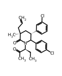 C=CC[C@@]1(C)C[C@H](c2cccc(Cl)c2)C(c2ccc(Cl)cc2)N([C@@H](CC)C(C)=O)C1=O